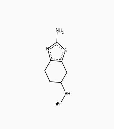 CCCBC1CCc2nc(N)sc2C1